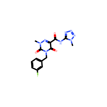 Cn1nnnc1NC(=O)c1nn(C)c(=O)n(Cc2cccc(F)c2)c1=O